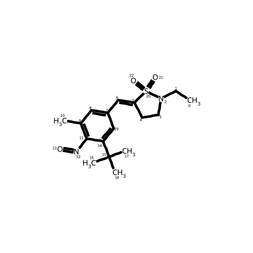 CCN1CC/C(=C\c2cc(C)c(N=O)c(C(C)(C)C)c2)S1(=O)=O